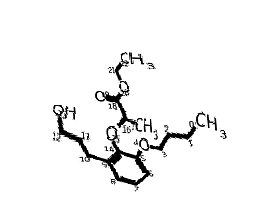 CCCCOc1cccc(CCCO)c1O[C@H](C)C(=O)OCC